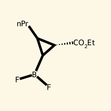 CCCC1C(B(F)F)[C@H]1C(=O)OCC